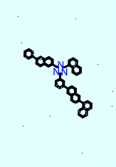 c1ccc(-c2ccc3cc(-c4nc(-c5cccc(-c6ccc7cc(-c8cccc9ccccc89)ccc7c6)c5)nc(-c5cccc6ccccc56)n4)ccc3c2)cc1